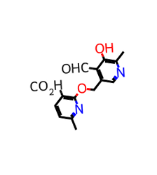 Cc1ccc(C(=O)O)c(OCc2cnc(C)c(O)c2C=O)n1